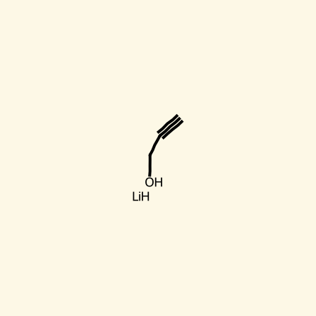 C#CCO.[LiH]